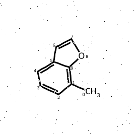 Cc1cccc2[c]coc12